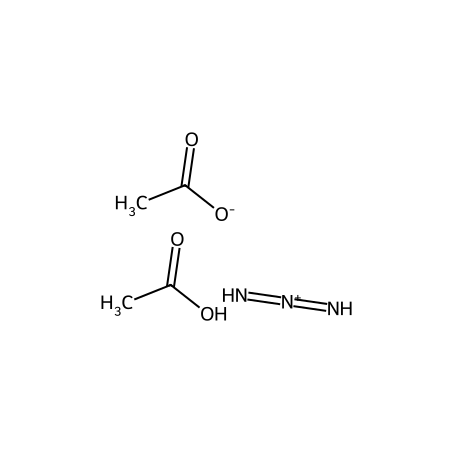 CC(=O)O.CC(=O)[O-].N=[N+]=N